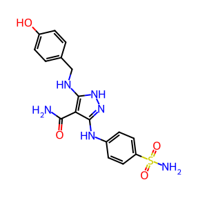 NC(=O)c1c(Nc2ccc(S(N)(=O)=O)cc2)n[nH]c1NCc1ccc(O)cc1